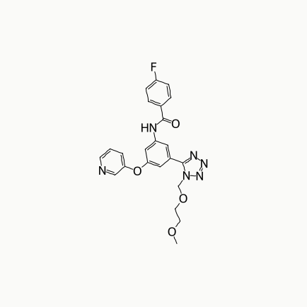 COCCOCn1nnnc1-c1cc(NC(=O)c2ccc(F)cc2)cc(Oc2cccnc2)c1